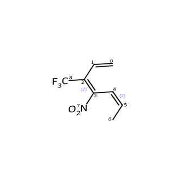 C=C/C(=C(\C=C/C)[N+](=O)[O-])C(F)(F)F